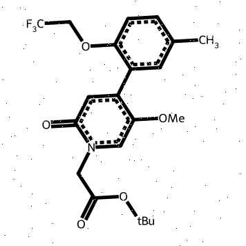 COc1cn(CC(=O)OC(C)(C)C)c(=O)cc1-c1cc(C)ccc1OCC(F)(F)F